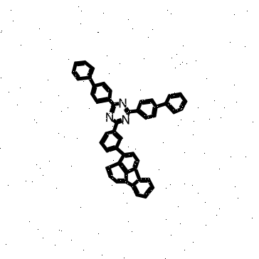 c1ccc(-c2ccc(-c3nc(-c4ccc(-c5ccccc5)cc4)nc(-c4cccc(-c5ccc6c7c(cccc57)-c5ccccc5-6)c4)n3)cc2)cc1